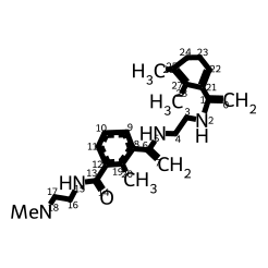 C=C(NCCNC(=C)c1cccc(C(=O)NCCNC)c1C)C1=CCCC(C)=C1C